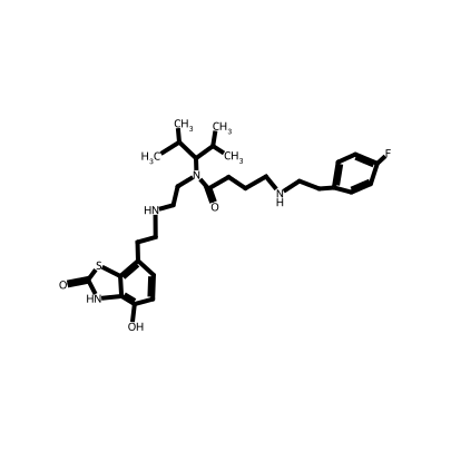 CC(C)C(C(C)C)N(CCNCCc1ccc(O)c2[nH]c(=O)sc12)C(=O)CCCNCCc1ccc(F)cc1